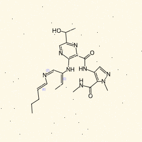 C\C=C(/C=N\C=C\CCC)Nc1ncc(C(C)O)nc1C(=O)Nc1cnn(C)c1C(=O)NC